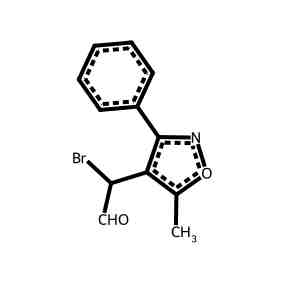 Cc1onc(-c2ccccc2)c1C(Br)C=O